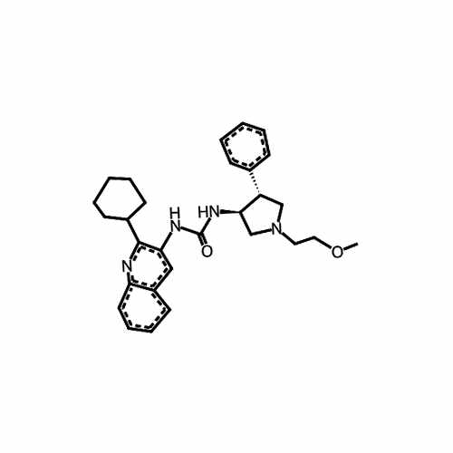 COCCN1C[C@@H](NC(=O)Nc2cc3ccccc3nc2C2CCCCC2)[C@H](c2ccccc2)C1